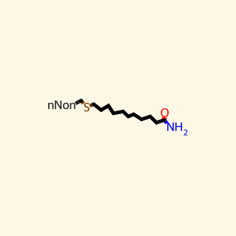 CCCCCCCCCCSCCCCCCCCCCC(N)=O